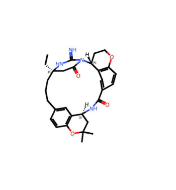 CC[C@]12CCCc3ccc4c(c3)[C@H](CC(C)(C)O4)NC(=O)c3ccc4c(c3)[C@@H](CCO4)N(C(=N)N1)C(=O)C2